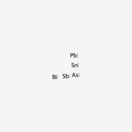 [As].[Bi].[Pb].[Sb].[Sn]